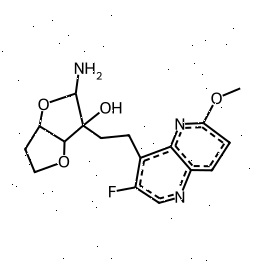 COc1ccc2ncc(F)c(CCC3(O)C(N)OC4CCOC43)c2n1